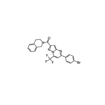 O=C(c1cc2nc(-c3ccc(Br)cc3)cc(C(F)(F)F)n2n1)N1CCc2ccccc2C1